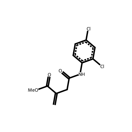 C=C(CC(=O)Nc1ccc(Cl)cc1Cl)C(=O)OC